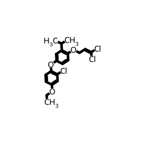 CCOc1ccc(Oc2ccc(OCC=C(Cl)Cl)c(C(C)C)c2)c(Cl)c1